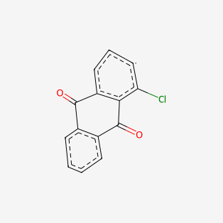 O=C1c2ccccc2C(=O)c2c(Cl)[c]ccc21